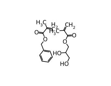 C=C(C)C(=O)OCC(O)CO.C=C(C)C(=O)OCc1ccccc1